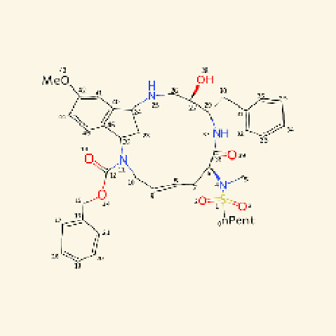 CCCCCS(=O)(=O)N(C)[C@H]1C/C=C/CN(C(=O)OCc2ccccc2)C2CC(NC[C@@H](O)[C@H](Cc3ccccc3)NC1=O)c1cc(OC)ccc12